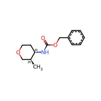 C[C@H]1COCC[C@H]1NC(=O)OCc1ccccc1